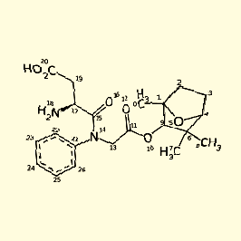 CC12CCC(O1)C(C)(C)C2OC(=O)CN(C(=O)[C@@H](N)CC(=O)O)c1ccccc1